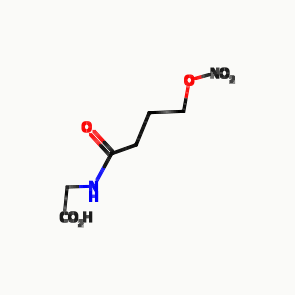 O=C(O)CNC(=O)CCCO[N+](=O)[O-]